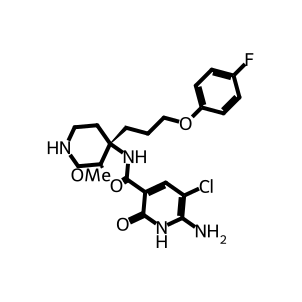 CO[C@@H]1CNCC[C@]1(CCCOc1ccc(F)cc1)NC(=O)c1cc(Cl)c(N)[nH]c1=O